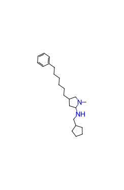 CN1CC(CCCCCCc2ccccc2)CC1NCC1CCCC1